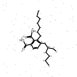 CCCCCCCc1c(CC(CC)CCCC)ccc(C(=O)O)c1C(=O)O